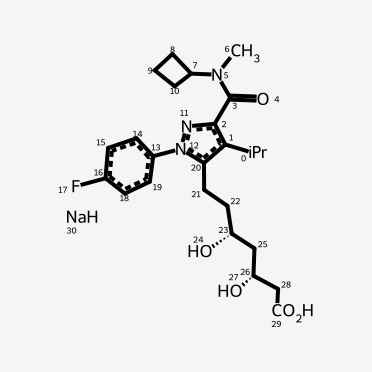 CC(C)c1c(C(=O)N(C)C2CCC2)nn(-c2ccc(F)cc2)c1CC[C@@H](O)C[C@@H](O)CC(=O)O.[NaH]